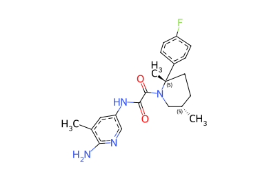 Cc1cc(NC(=O)C(=O)N2C[C@@H](C)CC[C@@]2(C)c2ccc(F)cc2)cnc1N